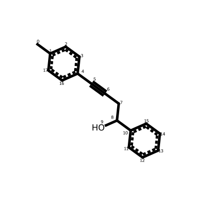 Cc1ccc(C#CCC(O)c2ccccc2)cc1